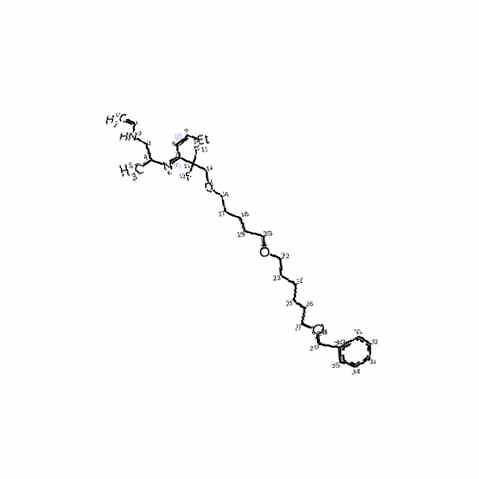 C=CNCC(C)/N=C(\C=C/CC)C(F)(F)COCCCCCOCCCCCCOCc1ccccc1